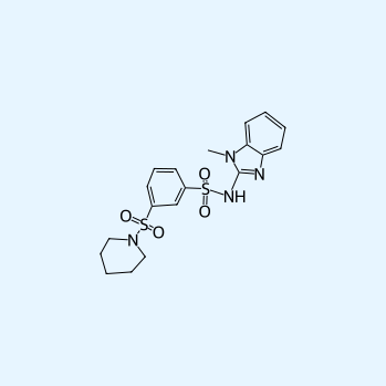 Cn1c(NS(=O)(=O)c2cccc(S(=O)(=O)N3CCCCC3)c2)nc2ccccc21